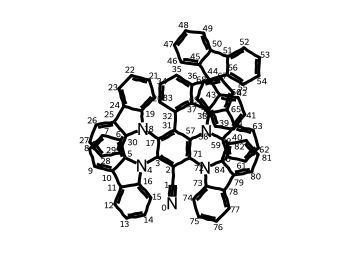 N#Cc1c(-n2c3ccccc3c3ccccc32)c(-n2c3ccccc3c3ccccc32)c(-c2cccc3c2-c2ccccc2C32c3ccccc3-c3ccccc32)c(-n2c3ccccc3c3ccccc32)c1-n1c2ccccc2c2ccccc21